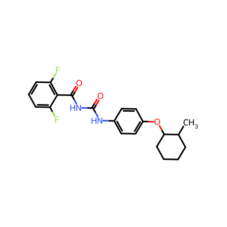 CC1CCCCC1Oc1ccc(NC(=O)NC(=O)c2c(F)cccc2F)cc1